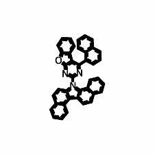 c1ccc2c(-c3nc(-n4c5ccc6ccccc6c5c5ccc6ccccc6c54)nc4oc5ccccc5c34)cccc2c1